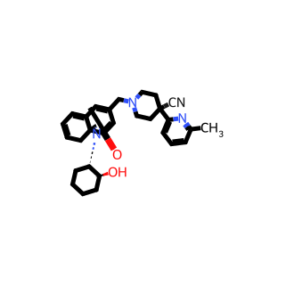 Cc1cccc(C2(C#N)CCN(CC3=CC4=CC=CCC45CN([C@H]4CCCC[C@@H]4O)C(=O)C5=C3)CC2)n1